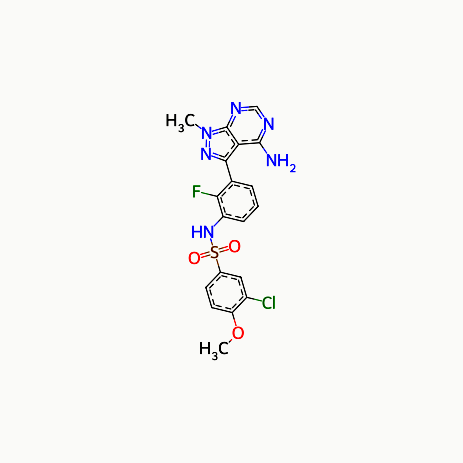 COc1ccc(S(=O)(=O)Nc2cccc(-c3nn(C)c4ncnc(N)c34)c2F)cc1Cl